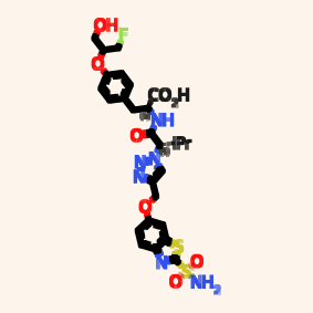 CC(C)[C@@H](C(=O)N[C@@H](Cc1ccc(OC(CO)CF)cc1)C(=O)O)n1cc(COc2ccc3nc(S(N)(=O)=O)sc3c2)nn1